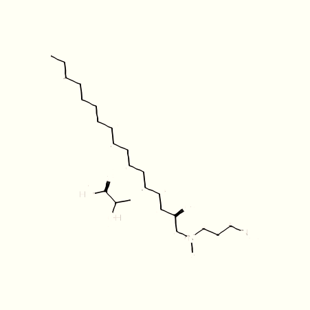 CC(O)C(=O)O.CCCCCCCCCCCCCCCC(=O)CN(C)CCCN